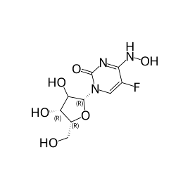 O=c1nc(NO)c(F)cn1[C@@H]1O[C@H](CO)[C@H](O)C1O